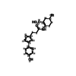 CCC1CCC(NC(=O)CCc2nc(-c3ccc(O)cn3)no2)=C(C(=O)O)C1